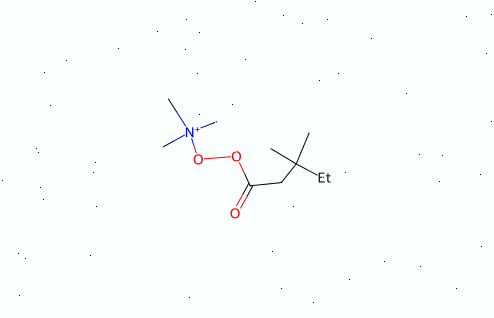 CCC(C)(C)CC(=O)OO[N+](C)(C)C